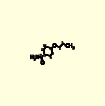 CCCO[C@H]1CC[C@H](C(N)=O)CC1